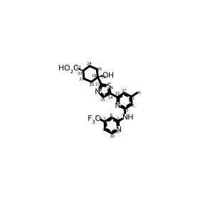 Cc1cc(Nc2cc(C(F)(F)F)ccn2)nc(-c2cnc([C@]3(O)CC[C@@H](C(=O)O)CC3)s2)c1